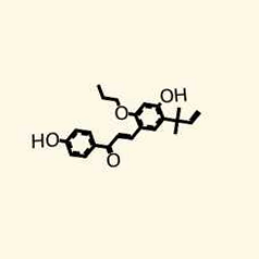 C=CC(C)(C)c1cc(/C=C/C(=O)c2ccc(O)cc2)c(OCCC)cc1O